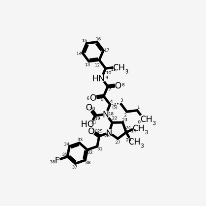 CCCC[C@@H](C(=O)C(=O)NC(C)c1ccccc1)N(C(=O)O)C1CC(C)(C)CN1C(=O)Cc1ccc(F)cc1